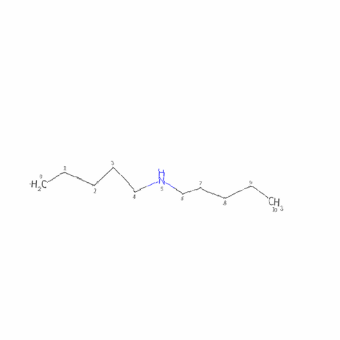 [CH2]CCCCNCCCCC